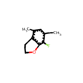 Cc1cc(C)c2c(c1F)OCC2